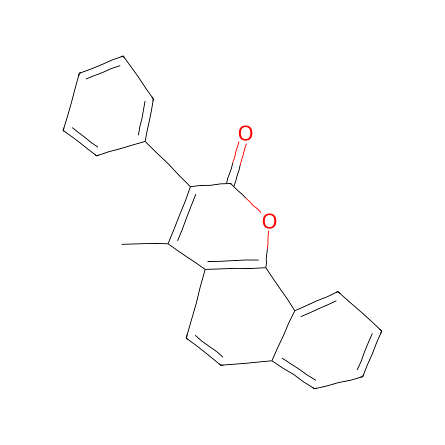 Cc1c(-c2ccccc2)c(=O)oc2c1ccc1ccccc12